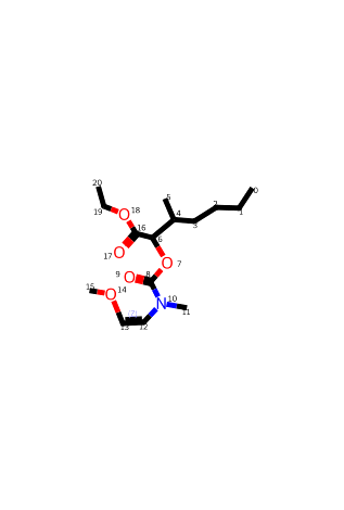 CCCCC(C)C(OC(=O)N(C)/C=C\OC)C(=O)OCC